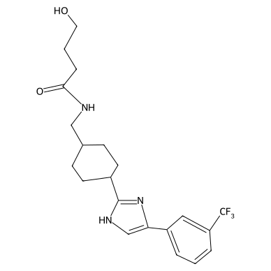 O=C(CCCO)NCC1CCC(c2nc(-c3cccc(C(F)(F)F)c3)c[nH]2)CC1